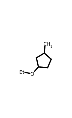 CCOC1CCC(C)C1